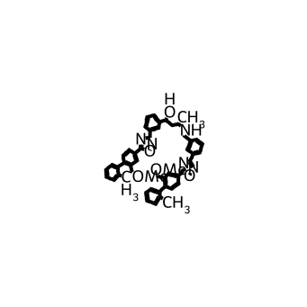 COCc1cc(-c2nc(-c3cccc(CNC(C)CC(O)c4cccc(-c5noc(-c6ccc(-c7ccccc7C)c(COC)c6)n5)c4)c3)no2)ccc1-c1ccccc1C